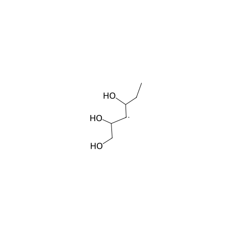 CCC(O)[CH]C(O)CO